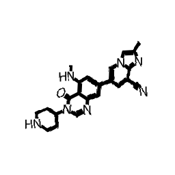 CNc1cc(-c2cc(C#N)c3nc(C)cn3c2)cc2ncn(C3CCNCC3)c(=O)c12